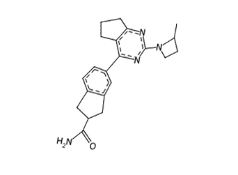 CC1CCN1c1nc2c(c(-c3ccc4c(c3)CC(C(N)=O)C4)n1)CCC2